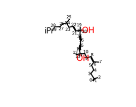 C=C(C)CCCC(C)=CCCC(C)(O)C#CC#CC(C)(O)C=CCC(C)CCCC(C)C